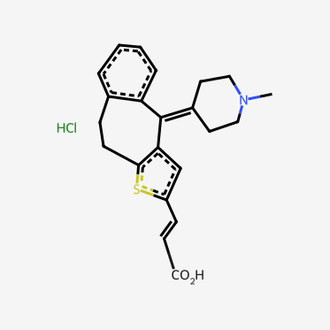 CN1CCC(=C2c3ccccc3CCc3sc(/C=C/C(=O)O)cc32)CC1.Cl